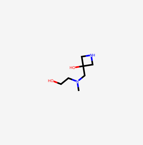 CN(CCO)CC1(O)CNC1